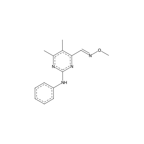 CO/N=C/c1nc(Nc2ccccc2)nc(C)c1C